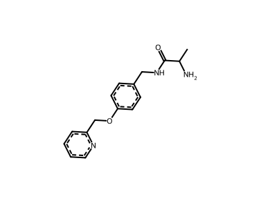 CC(N)C(=O)NCc1ccc(OCc2ccccn2)cc1